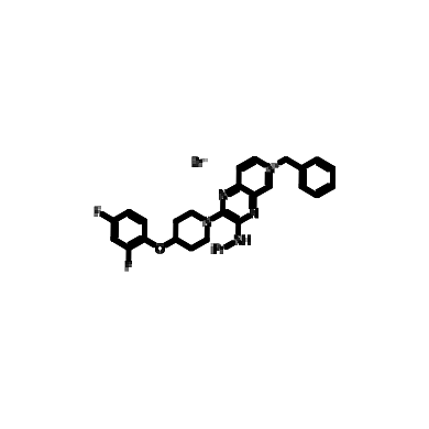 CC(C)Nc1nc2c[n+](Cc3ccccc3)ccc2nc1N1CCC(Oc2ccc(F)cc2F)CC1.[Br-]